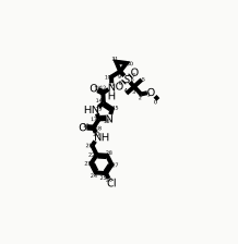 COCC(C)(C)S(=O)(=O)C1(CNC(=O)c2cnc(C(=O)NCc3ccc(Cl)cc3)[nH]2)CC1